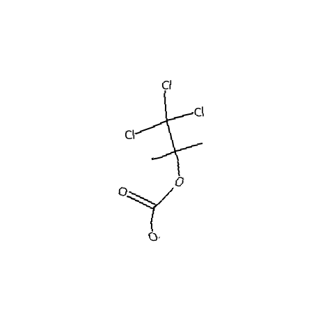 CC(C)(OC([O])=O)C(Cl)(Cl)Cl